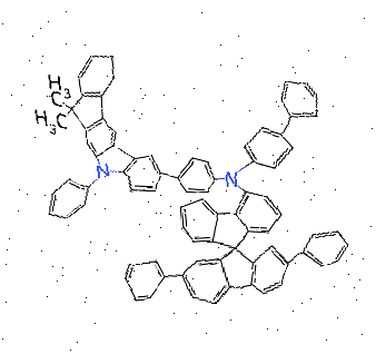 CC1(C)C2=C(CCC=C2)c2cc3c4cc(-c5ccc(N(c6ccc(-c7ccccc7)cc6)c6cccc7c6-c6ccccc6C76c7cc(-c8ccccc8)ccc7-c7ccc(-c8ccccc8)cc76)cc5)ccc4n(-c4ccccc4)c3cc21